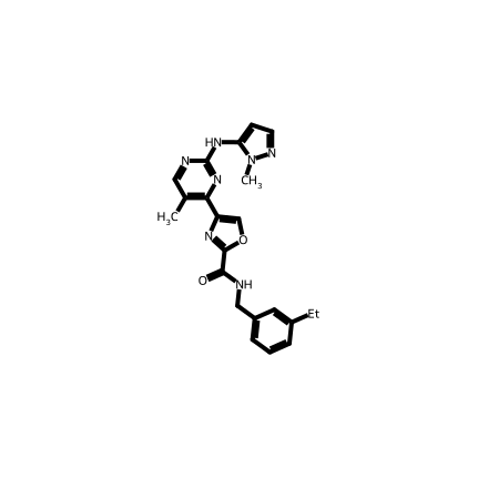 CCc1cccc(CNC(=O)c2nc(-c3nc(Nc4ccnn4C)ncc3C)co2)c1